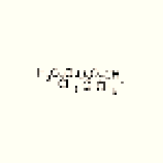 CC(C)OCOC(=O)OC(C)C